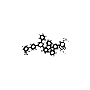 C[C@@H]1C[C@@H]2C[C@H](C)CC(c3ccc(C4(c5ccccc5)c5ccccc5-c5c(-c6nc(-c7ccccc7)nc(-c7ccc(-c8cccc(C#N)c8)cc7)n6)cccc54)cc3)(C1)C2